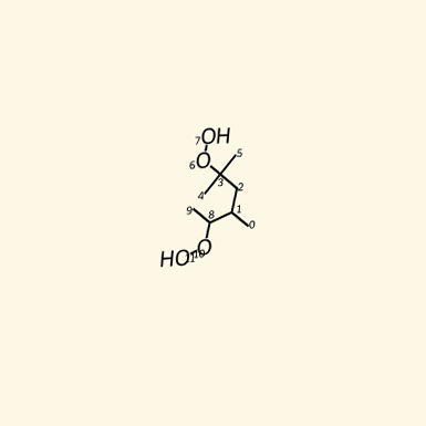 CC(CC(C)(C)OO)C(C)OO